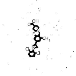 Cc1cc(C2CN(c3c(Cl)cccc3Cl)C2)cc(F)c1CN1CCC(C(=O)O)CC1